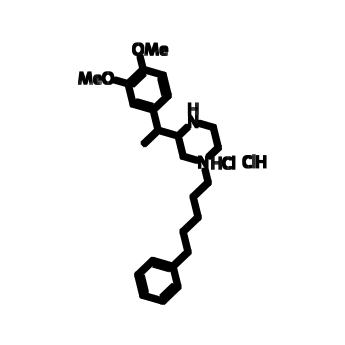 COc1ccc(C(C)C2CN(CCCCCc3ccccc3)CCN2)cc1OC.Cl.Cl